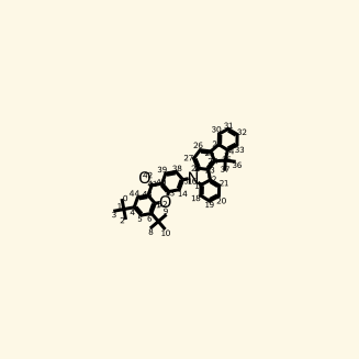 CC(C)(C)c1cc(C(C)(C)C)c2oc3cc(-n4c5ccccc5c5c6c(ccc54)-c4ccccc4C6(C)C)ccc3c(=O)c2c1